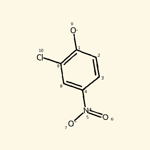 [O]c1ccc([N+](=O)[O-])cc1Cl